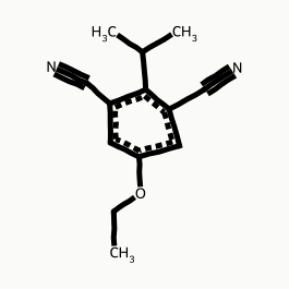 CCOc1cc(C#N)c(C(C)C)c(C#N)c1